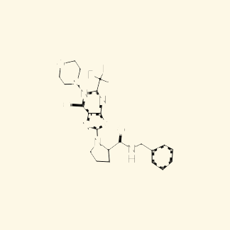 O=C(NCc1ccccc1)C1CCCN1c1nc2c(=O)n(N3CCOCC3)c(C(F)(F)F)nc2s1